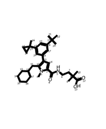 Cn1c(C(=O)NCCC(C)(C)C(=O)O)cc(-c2cc(C(C)(C)C)cc(C3(C)CC3)c2)c1CC1CCCCC1